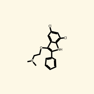 CN(C)CCOc1c(-c2ccccc2)[nH]c2c(Cl)cc(Cl)cc12